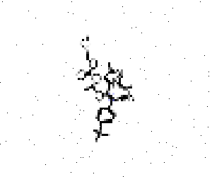 CCn1nc(C)cc1/C(OC(C)OC(=O)OCCOC)=C(\C#N)c1ccc(C(C)(C)C)cc1